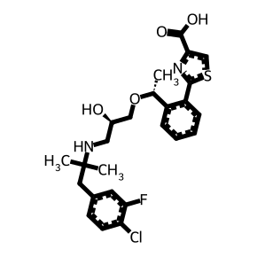 C[C@@H](OC[C@H](O)CNC(C)(C)Cc1ccc(Cl)c(F)c1)c1ccccc1-c1nc(C(=O)O)cs1